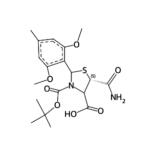 COc1cc(C)cc(OC)c1C1S[C@H](C(N)=O)C(C(=O)O)N1C(=O)OC(C)(C)C